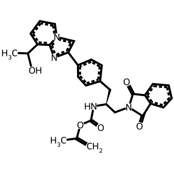 C=C(C)OC(=O)N[C@@H](Cc1ccc(-c2cn3cccc(C(C)O)c3n2)cc1)CN1C(=O)c2ccccc2C1=O